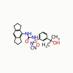 CC(C)(O)c1cccc(S(=O)(=NC#N)NC(=O)Nc2c3c(cc4c2CCC4)CCC3)c1